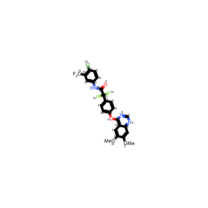 COc1cc2ncnc(Oc3ccc(C(F)(F)C(=O)Nc4ccc(Cl)c(C(F)(F)F)c4)cc3)c2cc1OC